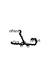 CCCCC/C=C\C/C=C\C/C=C\C/C=C\CCCCCC(=O)OC[C@@H](COC(=O)CCCCCCC/C=C\CCCCCCCC)OC(=O)CCCCCCC/C=C\C/C=C\CCCCC